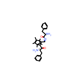 CC1=C(C)C2(C)C(C(=O)[C@@H](N)Cc3ccccc3)C(/C=N\C(=O)[C@@H](N)Cc3ccccc3)C1(C)C2C